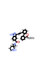 CNC(=O)c1ccccc1-c1ccccc1C#Cc1n[nH]c2ccc(C(=O)N3CC4(CCCNC4)C3)cc12